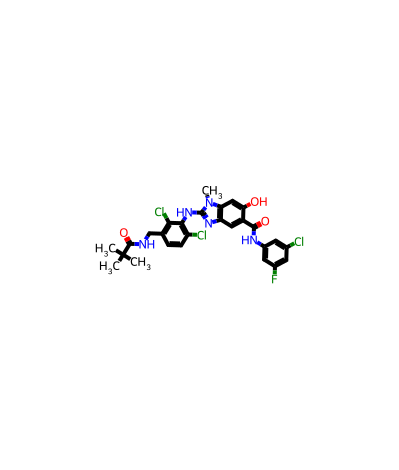 Cn1c(Nc2c(Cl)ccc(CNC(=O)C(C)(C)C)c2Cl)nc2cc(C(=O)Nc3cc(F)cc(Cl)c3)c(O)cc21